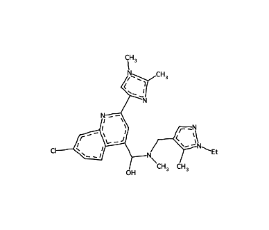 CCn1ncc(CN(C)C(O)c2cc(-c3cn(C)c(C)n3)nc3cc(Cl)ccc23)c1C